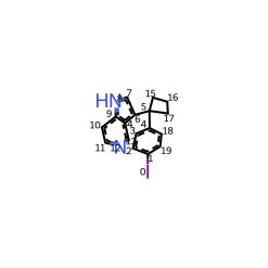 Ic1ccc(C2(c3c[nH]c4ccncc34)CCC2)cc1